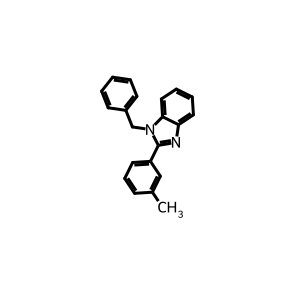 Cc1cccc(-c2nc3ccccc3n2Cc2ccccc2)c1